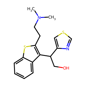 CN(C)CCc1sc2ccccc2c1C(CO)c1cscn1